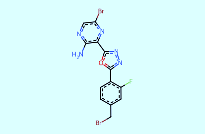 Nc1ncc(Br)nc1-c1nnc(-c2ccc(CBr)cc2F)o1